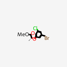 COC(=O)[C@@H](C)Oc1cc(Cl)cc(CBr)c1